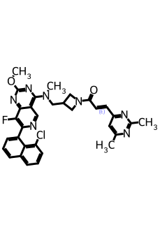 COc1nc(N(C)CC2CN(C(=O)/C=C/c3cc(C)nc(C)n3)C2)c2cnc(-c3cccc4cccc(Cl)c34)c(F)c2n1